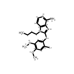 CCCCn1c(Sc2cc(OC)c(OC)cc2I)nc2c(N)nccc21